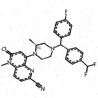 C[C@H]1CN(C(c2ccc(F)cc2)c2ccc(C(F)F)cc2)CCN1c1cc(=O)n(C)c2ccc(C#N)nc12